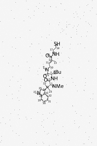 CNC(C(=O)NC(C(=O)N(C)C/C=C(\C)C(=O)NCCS)C(C)(C)C)C(C)(C)c1cn(C)c2ccccc12